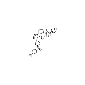 CN(C)c1ccc(C(=O)N2CCC(C3=C4C(=O)c5c(NC(=O)NN6CCOCC6)cccc5C4N=N3)CC2)cc1